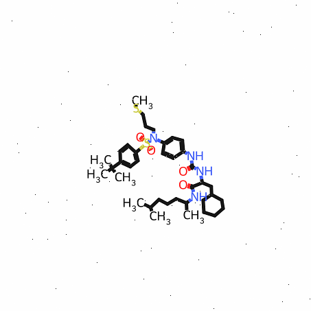 CSCCCN(c1ccc(NC(=O)NC(CC2CCCCC2)C(=O)NC(C)CCCC(C)C)cc1)S(=O)(=O)c1ccc(C(C)(C)C)cc1